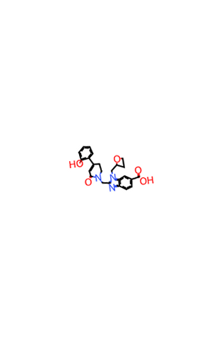 O=C(O)c1ccc2nc(CN3CCC(c4ccccc4O)=CC3=O)n(CC3CCO3)c2c1